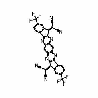 N#CC(C#N)=C1c2cc(C(F)(F)F)ccc2-c2nc3cc4nc5c(nc4cc3nc21)-c1ccc(C(F)(F)F)cc1C5=C(C#N)C#N